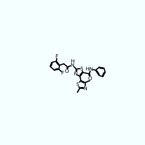 Cc1nc(C)c(-c2nc(NC(=O)Cc3c(F)cccc3F)sc2C(=O)Nc2ccccc2)s1